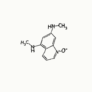 CNc1cc(NC)c2ccc[n+]([O-])c2c1